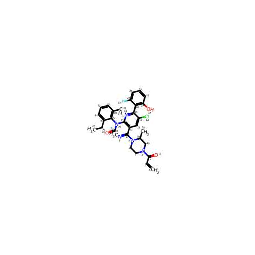 C=CC(=O)N1CCN(/C(=N/C)c2cc(Cl)c(-c3c(O)cccc3F)nc2N(C=O)c2c(C)cccc2CC)C(C)C1